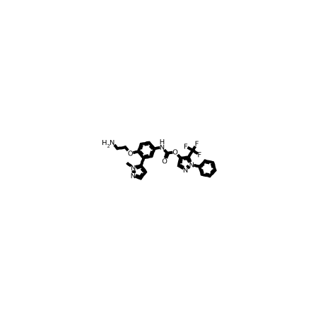 Cn1nccc1-c1cc(NC(=O)Oc2cnn(-c3ccccc3)c2C(F)(F)F)ccc1OCCN